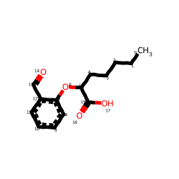 CCCCCC(Oc1ccccc1[C]=O)C(=O)O